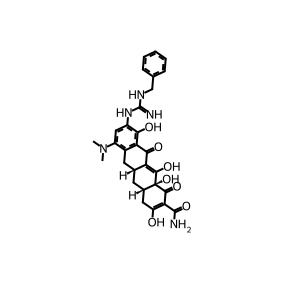 CN(C)c1cc(NC(=N)NCc2ccccc2)c(O)c2c1C[C@H]1C[C@H]3CC(O)=C(C(N)=O)C(=O)[C@@]3(O)C(O)=C1C2=O